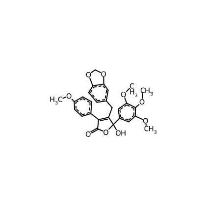 COc1ccc(C2=C(Cc3ccc4c(c3)OCO4)C(O)(c3cc(OC)c(OC)c(OC)c3)OC2=O)cc1